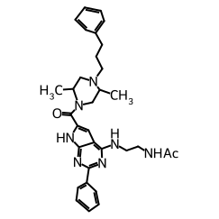 CC(=O)NCCNc1nc(-c2ccccc2)nc2[nH]c(C(=O)N3CC(C)N(CCCc4ccccc4)CC3C)cc12